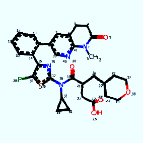 CN1C(=O)CCc2cc(-c3ccccc3-c3nc(N(C(=O)C(CC(=O)O)CC4CCOCC4)C4CC4)sc3F)cnc21